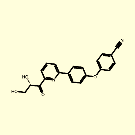 N#Cc1ccc(Oc2ccc(-c3cccc(C(=O)[C@@H](O)CO)n3)cc2)cc1